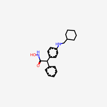 O=C(NO)C(c1ccccc1)c1ccc(NCC2CCCCC2)cc1